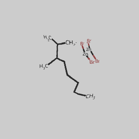 [Br][Zn][Br].[Br][Zn][Br].[CH2]C(C)C(C)CCCCC